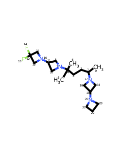 CC(CCC(C)(C)N1CC(N2CC(F)(F)C2)C1)N1CC(N2CCC2)C1